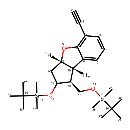 C#Cc1cccc2c1O[C@H]1CC(O[Si](C)(C)C(C)(C)C)[C@H](CO[Si](C)(C)C(C)(C)C)[C@@H]21